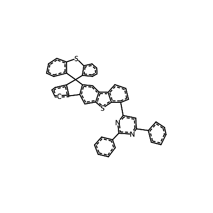 c1ccc(-c2cc(-c3cccc4c3sc3cc5c(cc34)C3(c4ccccc4Sc4ccccc43)c3ccccc3-5)nc(-c3ccccc3)n2)cc1